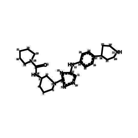 O=C(N[C@@H]1CCCN(c2nncc(Nc3ccc(C4CCNCC4)cc3)n2)C1)N1CCCCC1